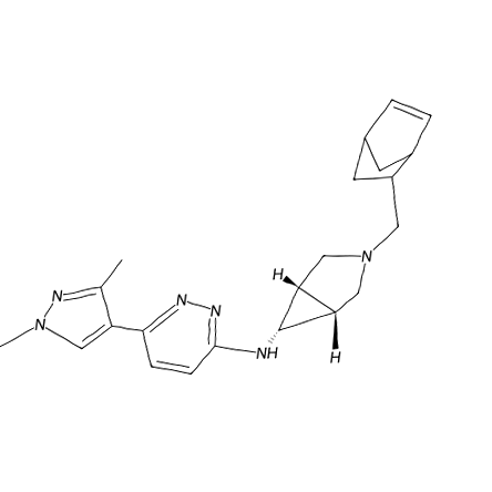 Cc1nn(C)cc1-c1ccc(N[C@@H]2[C@@H]3CN(CC4CC5C=CC4C5)C[C@@H]32)nn1